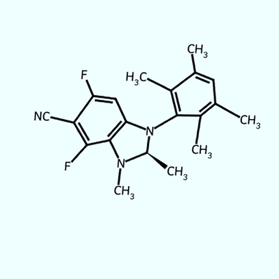 Cc1cc(C)c(C)c(N2c3cc(F)c(C#N)c(F)c3N(C)[C@@H]2C)c1C